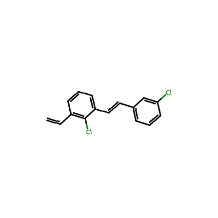 C=Cc1cccc(/C=C/c2cccc(Cl)c2)c1Cl